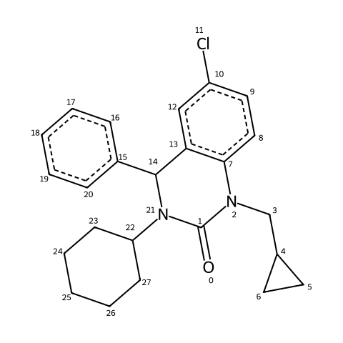 O=C1N(CC2CC2)c2ccc(Cl)cc2C(c2ccccc2)N1C1CCCCC1